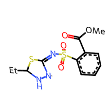 CCC1N[N]C(=NS(=O)(=O)c2ccccc2C(=O)OC)S1